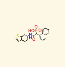 O=C(Nc1ccc2ccsc2c1)C(c1cccc2ccccc12)P(=O)(O)O